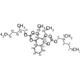 CCCCC(C)COC(=O)Oc1c(OCC)c(OCC)c(OC(=O)OCC(C)CCCC)c2ccccc12